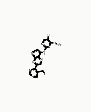 CCCOc1nc(Nc2ccnc3nc(-c4ncncc4CF)cnc23)ncc1C(F)(F)F